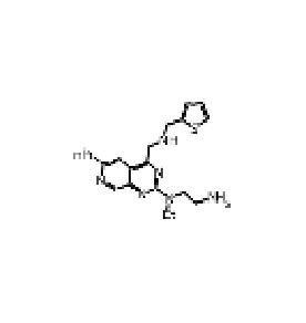 CCCc1cc2c(CNCc3cccs3)nc(N(CC)CCN)nc2cn1